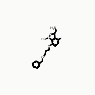 NCC1OB(O)c2c(OCCCOCc3ccccc3)ccc(F)c21